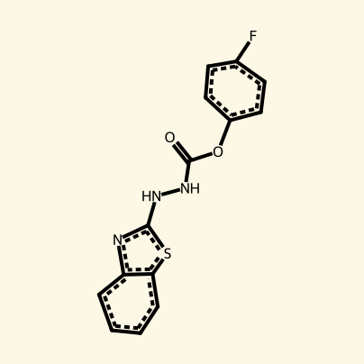 O=C(NNc1nc2ccccc2s1)Oc1ccc(F)cc1